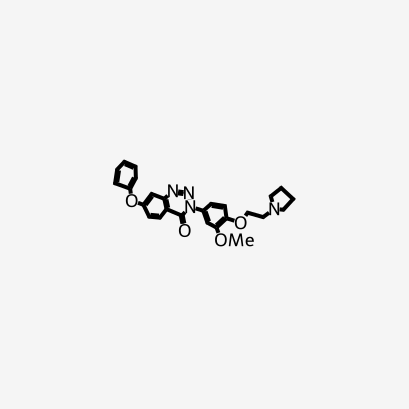 COc1cc(-n2nnc3cc(Oc4ccccc4)ccc3c2=O)ccc1OCCN1CCCC1